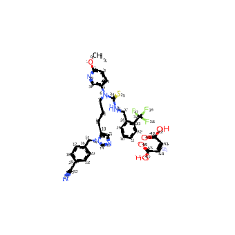 COc1ccc(N(CCCc2cncn2Cc2ccc(C#N)cc2)C(=S)NCc2ccccc2C(F)(F)F)cn1.O=C(O)/C=C\C(=O)O